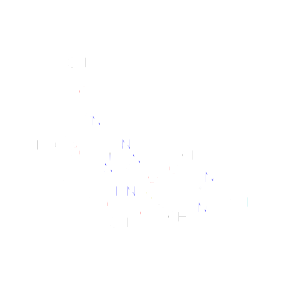 CCOc1cccc(-c2nnc(NS(=O)(=O)[C@@H](C)[C@H](OC)c3ncc(F)cn3)n2-c2c(OC)cccc2OC)n1